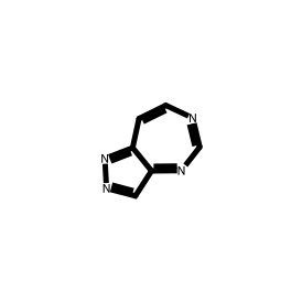 c1cc2nncc-2ncn1